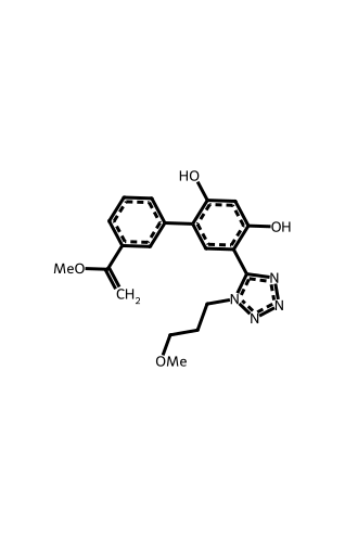 C=C(OC)c1cccc(-c2cc(-c3nnnn3CCCOC)c(O)cc2O)c1